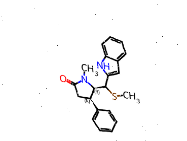 CSC(c1cc2ccccc2[nH]1)[C@H]1[C@@H](c2ccccc2)CC(=O)N1C